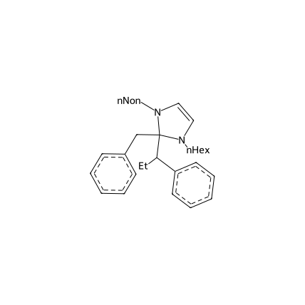 CCCCCCCCCN1C=CN(CCCCCC)C1(Cc1ccccc1)C(CC)c1ccccc1